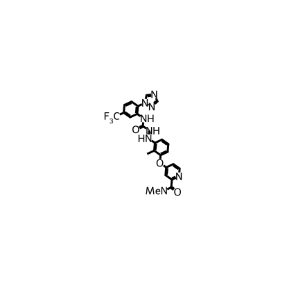 CNC(=O)c1cc(Oc2cccc(NNC(=O)Nc3cc(C(F)(F)F)ccc3-n3cncn3)c2C)ccn1